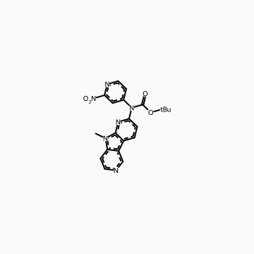 Cn1c2ccncc2c2ccc(N(C(=O)OC(C)(C)C)c3ccnc([N+](=O)[O-])c3)nc21